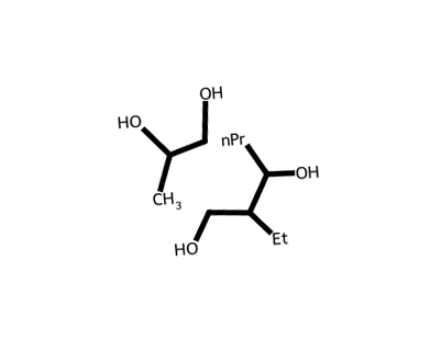 CC(O)CO.CCCC(O)C(CC)CO